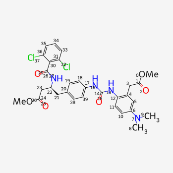 COC(=O)Cc1cc(N(C)C)ccc1NC(=O)Nc1ccc(C[C@@H](CC(=O)OC)NC(=O)c2c(Cl)cccc2Cl)cc1